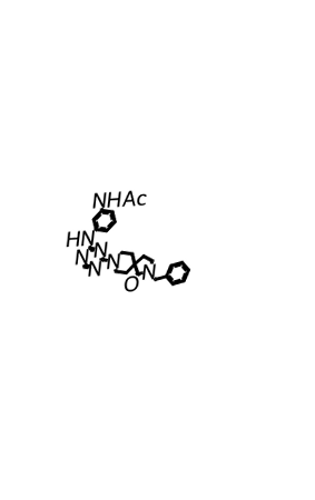 CC(=O)Nc1cccc(Nc2ncnc(N3CCC4(CCN(Cc5ccccc5)C4=O)CC3)n2)c1